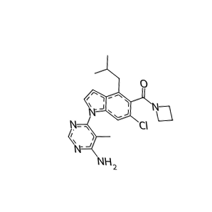 Cc1c(N)ncnc1-n1ccc2c(CC(C)C)c(C(=O)N3CCC3)c(Cl)cc21